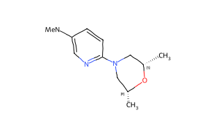 CNc1ccc(N2C[C@@H](C)O[C@@H](C)C2)nc1